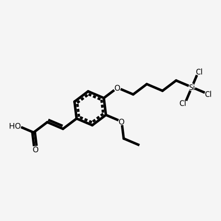 CCOc1cc(/C=C/C(=O)O)ccc1OCCCC[Si](Cl)(Cl)Cl